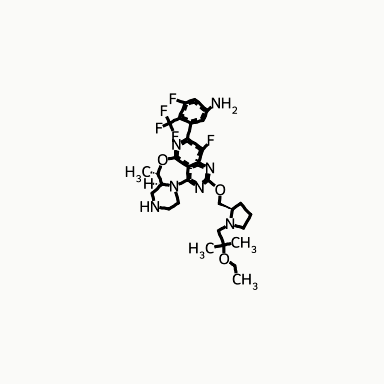 CCOC(C)(C)CN1CCC[C@@H]1COc1nc2c3c(nc(-c4cc(N)cc(F)c4C(F)(F)F)c(F)c3n1)O[C@@H](C)[C@@H]1CNCCN21